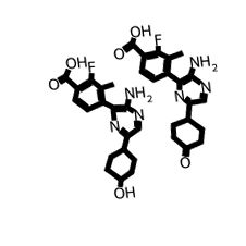 Cc1c(-c2nc(C3CCC(=O)CC3)cnc2N)ccc(C(=O)O)c1F.Cc1c(-c2nc(C3CCC(O)CC3)cnc2N)ccc(C(=O)O)c1F